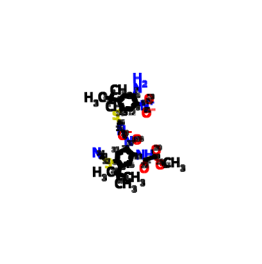 CC(C)(C)c1cc(N)c([N+](=O)[O-])cc1SC#N.COC(=O)C(=O)Nc1cc(C(C)(C)C)c(SC#N)cc1[N+](=O)[O-]